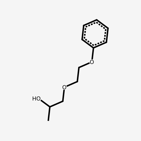 CC(O)COCCOc1ccccc1